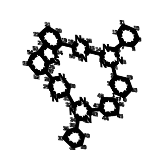 c1ccc(-c2nc(-c3ccccc3)nc(-c3cnc(-c4cccc5c4sc4c(-c6cnc(-c7nc(-c8ccccc8)nc(-c8ccccc8)n7)cn6)cccc45)cn3)n2)cc1